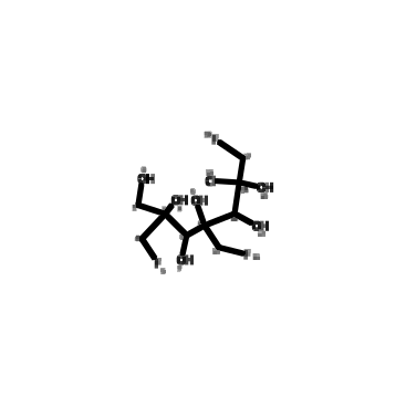 OCC(O)(CF)C(O)C(O)(CF)C(O)C(O)(Cl)CF